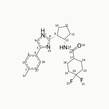 Cc1ccc(-c2c[nH]c([C@@H]3CCC[C@@H]3NC(=O)C3CCC(F)(F)CC3)n2)cc1